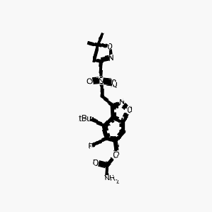 CC1(C)CC(S(=O)(=O)Cc2noc3cc(OC(N)=O)c(F)c(C(C)(C)C)c23)=NO1